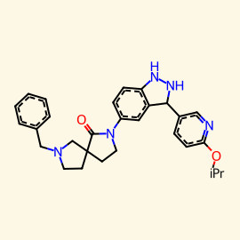 CC(C)Oc1ccc(C2NNc3ccc(N4CCC5(CCN(Cc6ccccc6)C5)C4=O)cc32)cn1